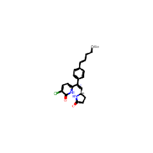 COCCCCc1ccc(/C(=C/[C@H]2CCC(=O)N2)c2ccc(Cl)c(=O)[nH]2)cc1